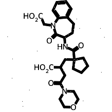 O=C(O)CN1C(=O)C(NC(=O)C2(CC(CC(=O)N3CCOCC3)C(=O)O)CCCC2)CCc2ccccc21